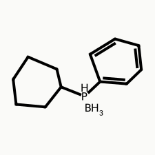 B.c1ccc(PC2CCCCC2)cc1